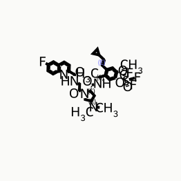 COc1cc(/C=C/C2CC2)c([C@H](C)NC(=O)[C@@H]2C[C@@H](N(C)C)CN2C(=O)CNC(=O)c2ccc3cc(F)ccc3n2)cc1OS(=O)(=O)C(F)(F)F